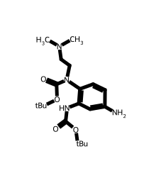 CN(C)CCN(C(=O)OC(C)(C)C)c1ccc(N)cc1NC(=O)OC(C)(C)C